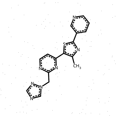 Cc1nc(-c2cccnc2)sc1-c1ccnc(Cn2cncn2)n1